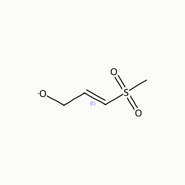 CS(=O)(=O)/C=C/C[O]